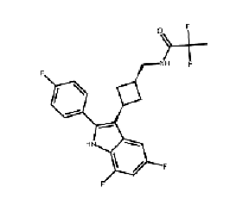 CC(F)(F)C(=O)NC[C@H]1C[C@@H](c2c(-c3ccc(F)cc3)[nH]c3c(F)cc(F)cc32)C1